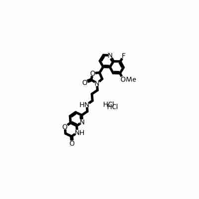 COc1cc(F)c2nccc(C3CN(CCCNCc4ccc5c(n4)NC(=O)CO5)C(=O)O3)c2c1.Cl.Cl